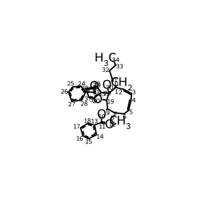 C=C1/C=C\C=C/C[C@H](C)C(OC(=O)c2ccccc2)C(OC(=O)c2ccccc2)[C@]1(OCCCC)C1C=CC=C1